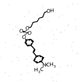 CN(C)c1ccc(C=Cc2ccc(OS(=O)(=O)OCCCCCCO)cc2)cc1